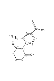 N#Cc1cc([N+](=O)[O-])ccc1N1C(=O)CCCC1=O